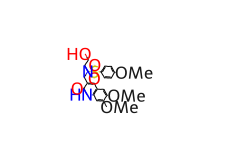 COc1ccc(S(=O)(=O)N(CCO)Cc2cc3cc(OC)c(OC)cc3[nH]c2=O)cc1